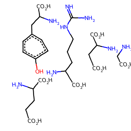 N=C(N)NCCCC(N)C(=O)O.NC(CC(=O)O)C(=O)O.NC(CCC(=O)O)C(=O)O.NC(Cc1ccc(O)cc1)C(=O)O.NCC(=O)O